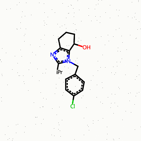 CC(C)c1nc2c(n1Cc1ccc(Cl)cc1)C(O)CCC2